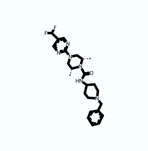 C[C@@H]1CN(c2ncc(C(F)F)cn2)C[C@H](C)N1C(=O)NC1CCN(Cc2ccccc2)CC1